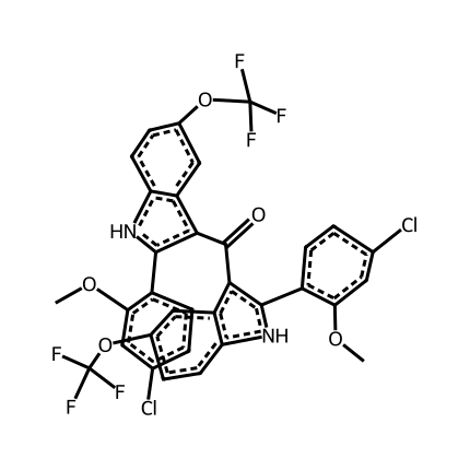 COc1cc(Cl)ccc1-c1[nH]c2ccc(OC(F)(F)F)cc2c1C(=O)c1c(-c2ccc(Cl)cc2OC)[nH]c2ccc(OC(F)(F)F)cc12